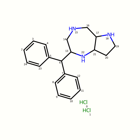 Cl.Cl.c1ccc(C(c2ccccc2)C2CNCC3NCCC3N2)cc1